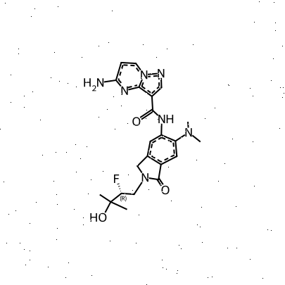 CN(C)c1cc2c(cc1NC(=O)c1cnn3ccc(N)nc13)CN(C[C@@H](F)C(C)(C)O)C2=O